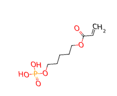 C=CC(=O)OCCCCCOP(=O)(O)O